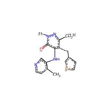 CCn1nc(C(=O)O)c(Cc2ccsc2)c(Nc2cnccc2C)c1=O